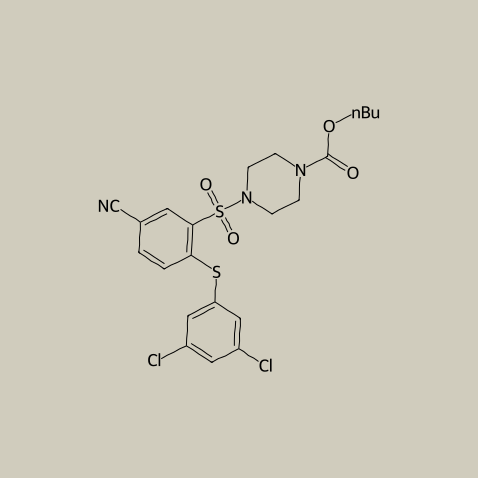 CCCCOC(=O)N1CCN(S(=O)(=O)c2cc(C#N)ccc2Sc2cc(Cl)cc(Cl)c2)CC1